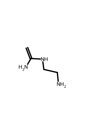 C=C(N)NCCN